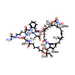 COc1cc2cc(c1Cl)N(C)C(=O)C[C@H](OC(=O)[C@H](C)N(C)C(=O)c1ccccc1NC(=O)[C@H](CCCNC(N)=O)NC(O)[C@@H](NC(=O)CCCCCOC(C=O)(CBr)CBr)C(C)C)[C@]1(C)O[C@H]1[C@H](C)[C@@H]1C[C@@](O)(NC(=O)O1)[C@H](OC)/C=C/C=C(\C)C2